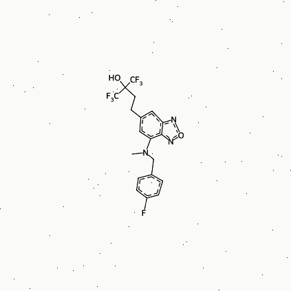 CN(Cc1ccc(F)cc1)c1cc(CCC(O)(C(F)(F)F)C(F)(F)F)cc2nonc12